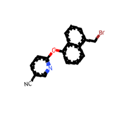 N#Cc1ccc(Oc2cccc3c(CBr)cccc23)nc1